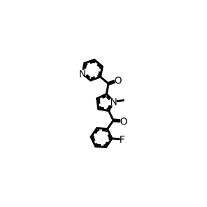 Cn1c(C(=O)c2cccnc2)ccc1C(=O)c1ccccc1F